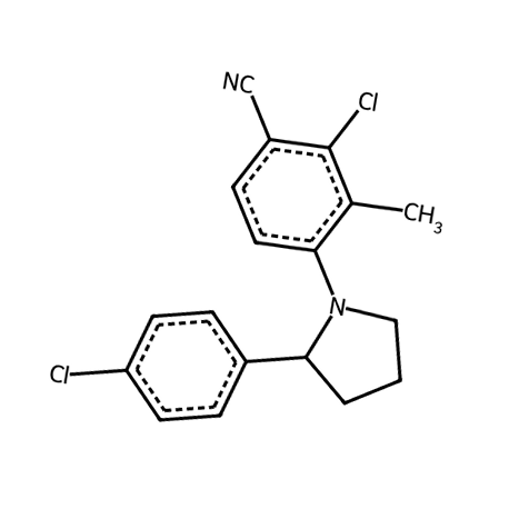 Cc1c(N2CCCC2c2ccc(Cl)cc2)ccc(C#N)c1Cl